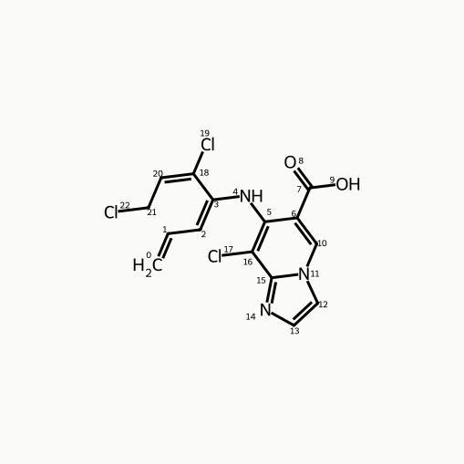 C=C/C=C(Nc1c(C(=O)O)cn2ccnc2c1Cl)\C(Cl)=C/CCl